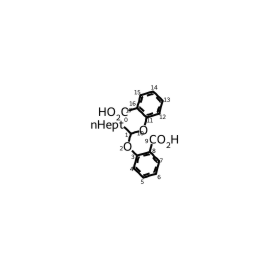 CCCCCCCC(Oc1ccccc1C(=O)O)Oc1ccccc1C(=O)O